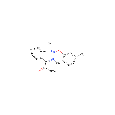 CNC(=O)C(=NOC)c1ccccc1C(C)=NOc1cccc(C(F)(F)F)c1